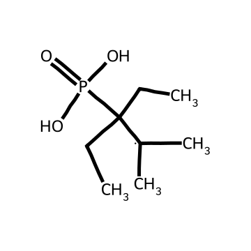 CCC(CC)([C](C)C)P(=O)(O)O